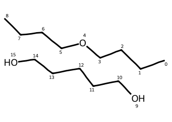 CCCCOCCCC.OCCCCCO